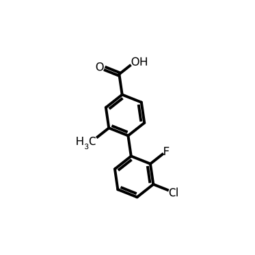 Cc1cc(C(=O)O)ccc1-c1cccc(Cl)c1F